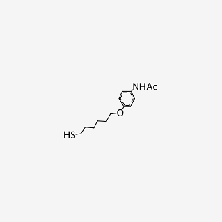 CC(=O)Nc1ccc(OCCCCCCS)cc1